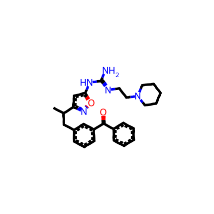 CC(Cc1cccc(C(=O)c2ccccc2)c1)c1cc(NC(N)=NCCN2CCCCC2)on1